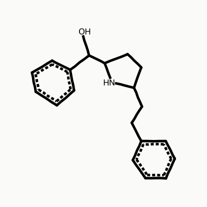 OC(c1ccccc1)C1CCC(CCc2ccccc2)N1